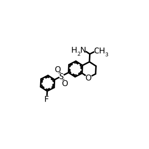 CC(N)C1CCOc2cc(S(=O)(=O)c3cccc(F)c3)ccc21